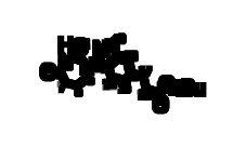 Cn1nc(N2CCCC(=O)NC2=O)c2ccc(CCC(=O)OC(C)(C)C)cc21